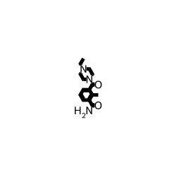 CCN1CCN(C(=O)c2cccc(C(N)=O)c2C)CC1